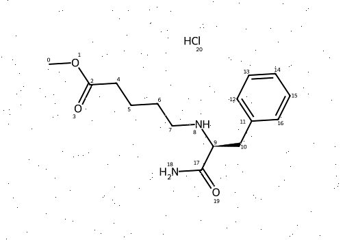 COC(=O)CCCCN[C@@H](Cc1ccccc1)C(N)=O.Cl